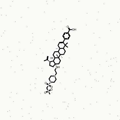 C=C(C)[C@@H]1CC[C@]2(NCCN3CCN(S(=O)(=O)CS(C)(=O)=O)CC3)CC[C@]3(C)[C@H](CCC4[C@@]5(C)CC=C(c6ccc(C(=O)O)cc6)C(C)(C)C5CC[C@]43C)C12